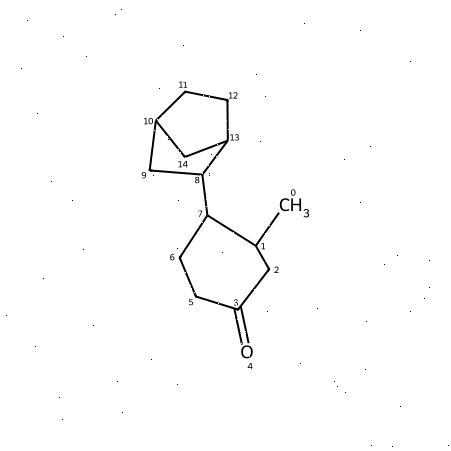 CC1CC(=O)CCC1C1CC2CCC1C2